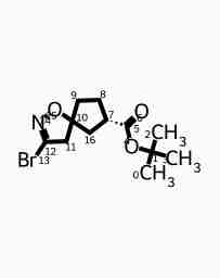 CC(C)(C)OC(=O)[C@H]1CCC2(CC(Br)=NO2)C1